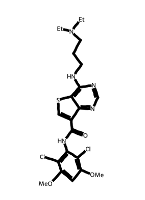 CCN(CC)CCCNc1ncnc2c(C(=O)Nc3c(Cl)c(OC)cc(OC)c3Cl)csc12